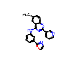 COc1ccc2nc(-c3cccnc3)nc(Nc3cccc(-c4ncco4)c3)c2c1